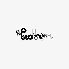 Nc1nc(CC(=O)Nc2ccc(C[C@@H]3CC[C@H]([C@H](N=O)c4ccccc4)N3)cc2)cs1